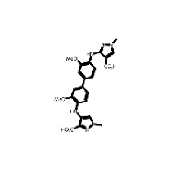 COc1cc(-c2ccc(Nc3nn(C)cc3C(=O)O)c(OC)c2)ccc1Nc1cn(C)nc1C(=O)O